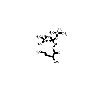 CC=CC(C)C(=O)ONC(C)(O[Si](C)(C)C)O[Si](C)(C)C